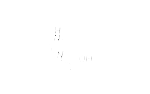 CC(CO)C(C)N1CCNCC1